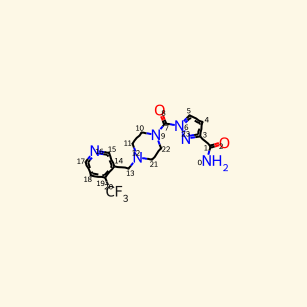 NC(=O)c1ccn(C(=O)N2CCN(Cc3cnccc3C(F)(F)F)CC2)n1